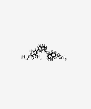 CNC(=O)c1ccc(-c2ccc3nnc(COc4ccnc5cc(OC)ccc45)n3n2)cc1C